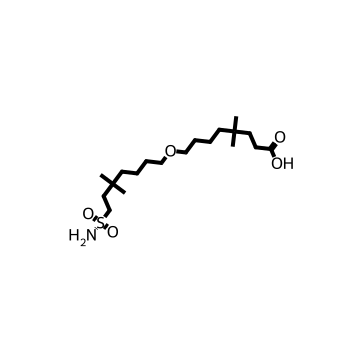 CC(C)(CCCCOCCCCC(C)(C)CCS(N)(=O)=O)CCC(=O)O